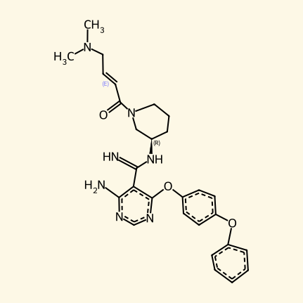 CN(C)C/C=C/C(=O)N1CCC[C@@H](NC(=N)c2c(N)ncnc2Oc2ccc(Oc3ccccc3)cc2)C1